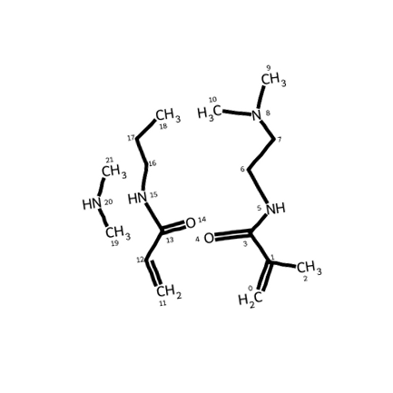 C=C(C)C(=O)NCCN(C)C.C=CC(=O)NCCC.CNC